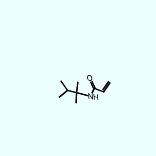 C=CC(=O)NC(C)(C)C(C)C